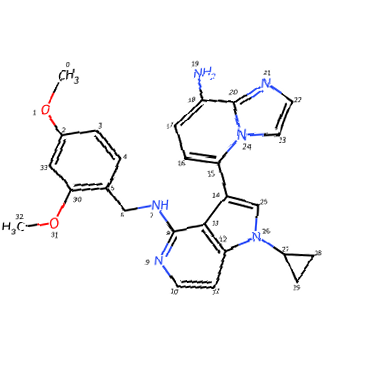 COc1ccc(CNc2nccc3c2c(-c2ccc(N)c4nccn24)cn3C2CC2)c(OC)c1